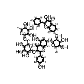 C[C@@H]1O[C@@H](OC[C@H]2O[C@@H](Oc3c(-c4ccc(O)cc4)oc4cc(O[C@@H]5O[C@@H](C)[C@H](O)[C@@H](O)[C@H]5O)cc(O)c4c3=O)[C@H](O)[C@@H](O)[C@H]2O)[C@H](O)[C@H](O)[C@H]1O.O=c1c(O)c(-c2ccccc2)oc2ccccc12